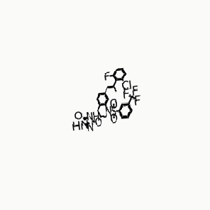 CC(=Cc1ccc2c(c1)N(S(=O)(=O)c1cccc(C(F)(F)F)c1)CC(Oc1n[nH]c(=O)[nH]1)C2)c1c(F)cccc1Cl